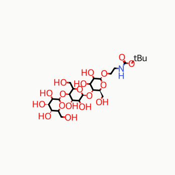 CC(C)(C)OC(=O)NCCO[C@@H]1O[C@@H](CO)[C@@H](O[C@@H]2OC(CO)[C@H](O[C@H]3OC(CO)[C@H](O)[C@H](O)C3O)[C@H](O)C2O)C(O)C1O